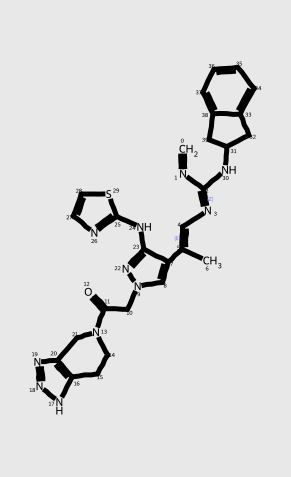 C=N/C(=N\C=C(/C)c1cn(CC(=O)N2CCc3[nH]nnc3C2)nc1Nc1nccs1)NC1Cc2ccccc2C1